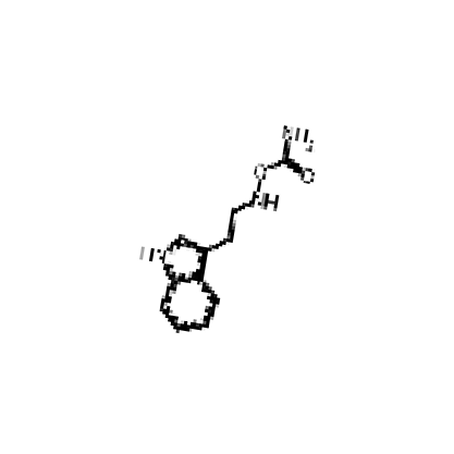 NC(=O)ONCCc1c[nH]c2ccccc12